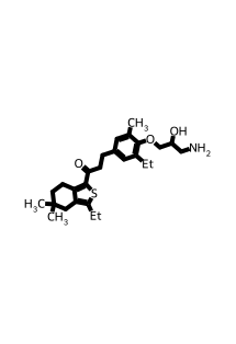 CCc1cc(CCC(=O)c2sc(CC)c3c2CCC(C)(C)C3)cc(C)c1OCC(O)CN